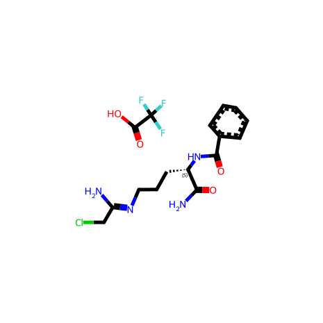 NC(=O)[C@H](CCCN=C(N)CCl)NC(=O)c1ccccc1.O=C(O)C(F)(F)F